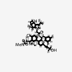 CNS(=O)(=O)Nc1nn(C)c2c(-c3ccc(C#CC(C)(C)O)nc3[C@H](Cc3cc(F)cc(F)c3)NC(=O)Cn3nc(C(F)F)c4c3C(F)(F)[C@@H]3CC[C@H]43)ccc(Cl)c12